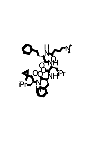 CC(C)C[C@H](NC(=O)[C@H](CCc1ccccc1)NC(=O)CCCN(C)C)C(=O)N[C@@H](Cc1ccccc1)C(=O)N[C@@H](CC(C)C)C(=O)C1(C)CC1